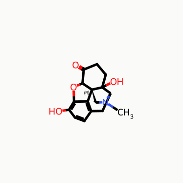 CN1CC[C@@]23c4c5ccc(O)c4OC2C(=O)CCC3(O)C1C5